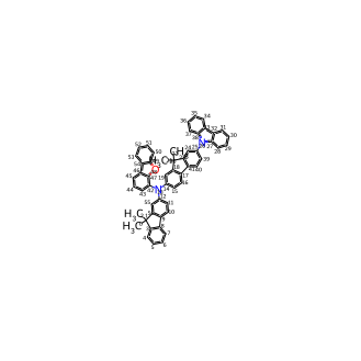 CC1(C)c2ccccc2-c2ccc(N(c3ccc4c(c3)C(C)(C)c3cc(-n5c6ccccc6c6ccccc65)ccc3-4)c3cccc4c3oc3ccccc34)cc21